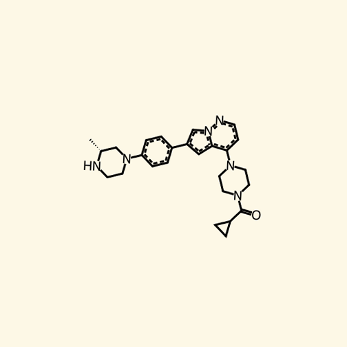 C[C@@H]1CN(c2ccc(-c3cc4c(N5CCN(C(=O)C6CC6)CC5)ccnn4c3)cc2)CCN1